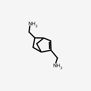 NCC1=CC2CC1CC2CN